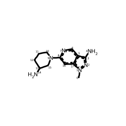 Cn1nc(N)c2cnc(N3CCCC(N)C3)cc21